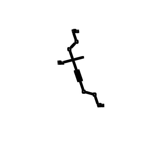 CCC(C)C(C)(C#COOC(C)(C)C)OOC(C)(C)C